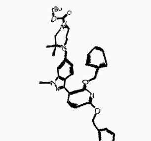 Cn1nc(-c2ccc(OCc3ccccc3)nc2OCc2ccccc2)c2ccc(N3CCN(C(=O)OC(C)(C)C)CC3(C)C)cc21